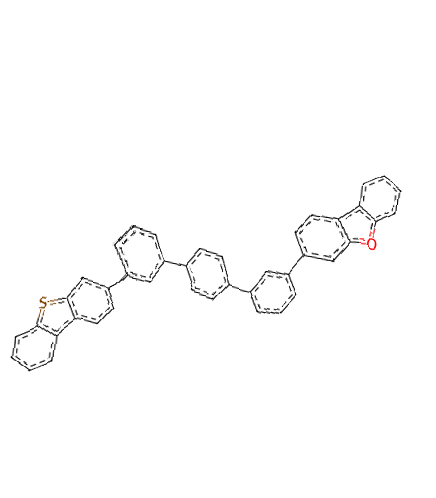 c1cc(-c2ccc(-c3cccc(-c4ccc5c(c4)sc4ccccc45)c3)cc2)cc(-c2ccc3c(c2)oc2ccccc23)c1